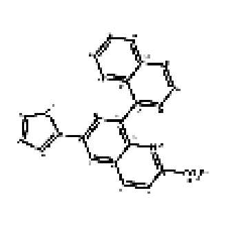 CCOC(=O)c1ccc2cc(-c3cccs3)cc(-c3cccc4ccccc34)c2n1